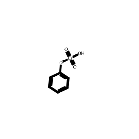 [O]=[Cr](=[O])([OH])[O]c1ccccc1